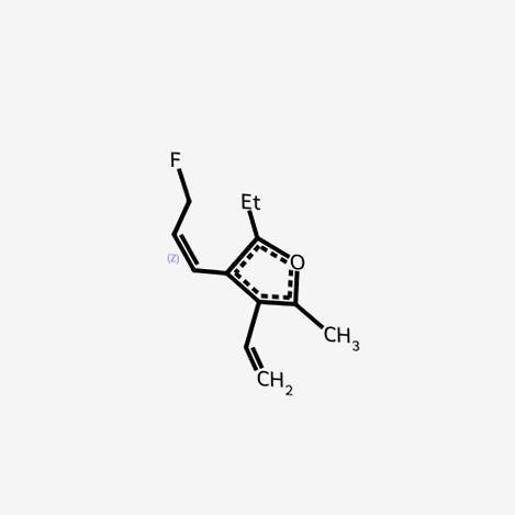 C=Cc1c(C)oc(CC)c1/C=C\CF